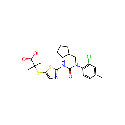 Cc1ccc(N(CC2CCCC2)C(=O)Nc2ncc(SC(C)(C)C(=O)O)s2)c(Cl)c1